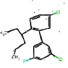 CCCC(CC)c1ccc(Cl)cc1-c1cc(F)cc(Cl)c1